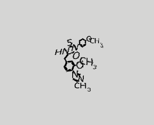 COc1ccc(N2C(=O)/C(=C\c3ccc(-n4cnc(C)c4)c(OC)c3)NC2=S)cc1